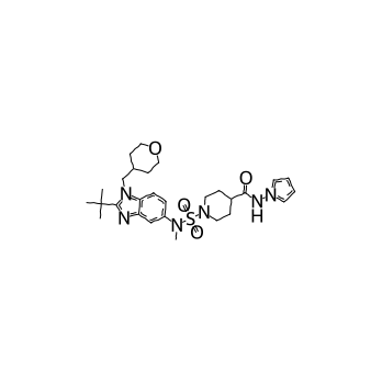 CN(c1ccc2c(c1)nc(C(C)(C)C)n2CC1CCOCC1)S(=O)(=O)N1CCC(C(=O)Nn2cccc2)CC1